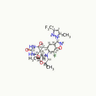 Cc1cc(C(F)(F)F)nn1-c1noc2c(F)c3c(cc12)CC1(C(=O)NC(=O)NC1=O)[C@H]1[C@H](C)O[C@H](C)CN31